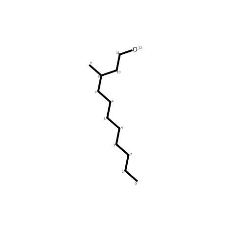 CCCCCCCCC(C)CC[O]